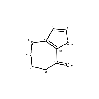 O=C1CCCSc2ccsc21